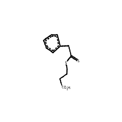 O=C(O)CCSC(=S)Cc1ccccc1